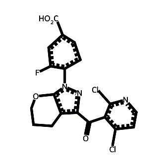 O=C(O)c1ccc(-n2nc(C(=O)c3c(Cl)ccnc3Cl)c3c2OCCC3)c(F)c1